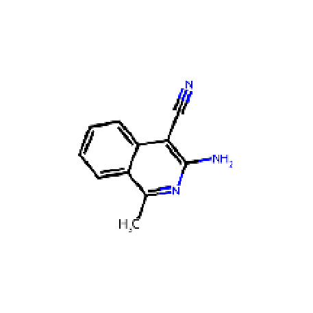 Cc1nc(N)c(C#N)c2ccccc12